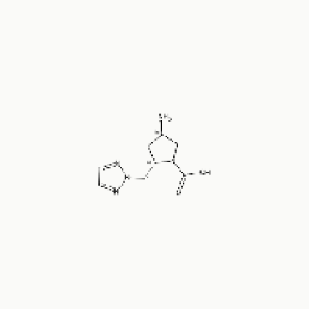 N[C@@H]1C[C@@H](Cn2nccn2)N(C(=O)O)C1